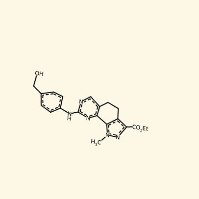 CCOC(=O)c1nn(C)c2c1CCc1cnc(Nc3ccc(CO)cc3)nc1-2